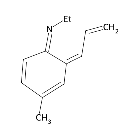 C=C/C=C1/C=C(C)C=C/C1=N/CC